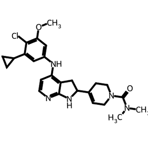 COc1cc(Nc2ccnc3c2CC(C2=CCN(C(=O)N(C)C)CC2)N3)cc(C2CC2)c1Cl